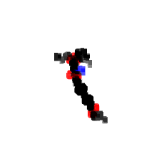 CCO[Si](CCCNC(=O)OCCC[C@H]1CC[C@H](CCc2ccc(/C=C/C(=O)OC)cc2)CC1)(OCC)OCC